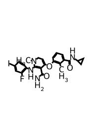 Cc1c(OC2=CCN(C)C(Nc3ccc(I)cc3F)=C2C(N)=O)cccc1C(=O)NC1CC1